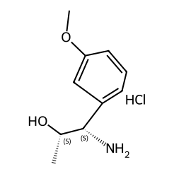 COc1cccc([C@H](N)[C@H](C)O)c1.Cl